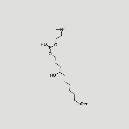 CCCCCCCCCCCCCCCCC(O)CCCOP(O)OCC[N+](C)(C)C